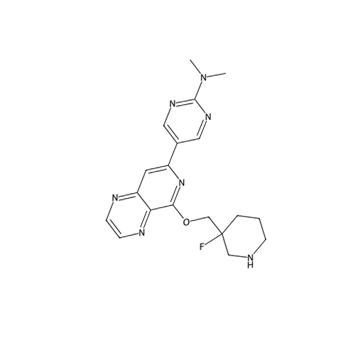 CN(C)c1ncc(-c2cc3nccnc3c(OCC3(F)CCCNC3)n2)cn1